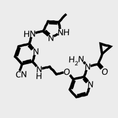 Cc1cc(Nc2ccc(C#N)c(NCCOc3cccnc3N(N)C(=O)C3CC3)n2)n[nH]1